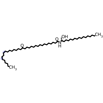 CCCCC/C=C\C/C=C\CCCCCCCC(=O)CCCCCCCCCCCCCCCC(=O)N[C@@H](CO)CCCCCCCCCCCCCCCC